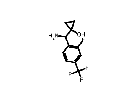 NC(c1ccc(C(F)(F)F)cc1F)C1(O)CC1